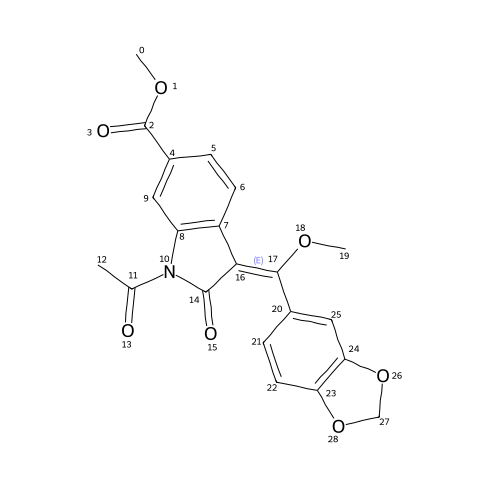 COC(=O)c1ccc2c(c1)N(C(C)=O)C(=O)/C2=C(/OC)c1ccc2c(c1)OCO2